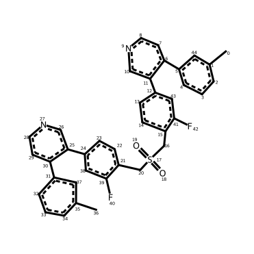 Cc1cccc(-c2ccncc2-c2ccc(CS(=O)(=O)Cc3ccc(-c4cnccc4-c4cccc(C)c4)cc3F)c(F)c2)c1